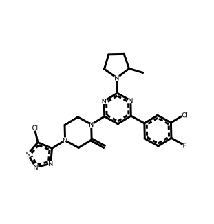 C=C1CN(c2nnsc2Cl)CCN1c1cc(-c2ccc(F)c(Cl)c2)nc(N2CCCC2C)n1